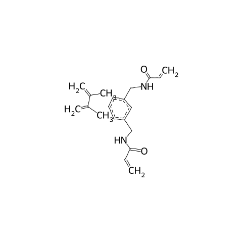 C=C(C)C(=C)C.C=CC(=O)NCc1cccc(CNC(=O)C=C)c1